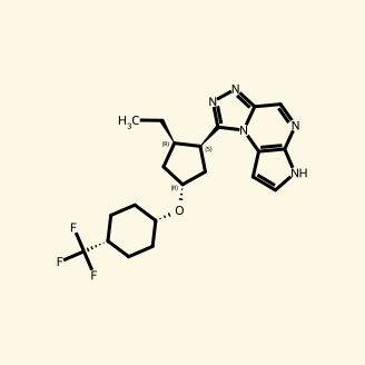 CC[C@@H]1C[C@@H](O[C@H]2CC[C@@H](C(F)(F)F)CC2)C[C@@H]1c1nnc2cnc3[nH]ccc3n12